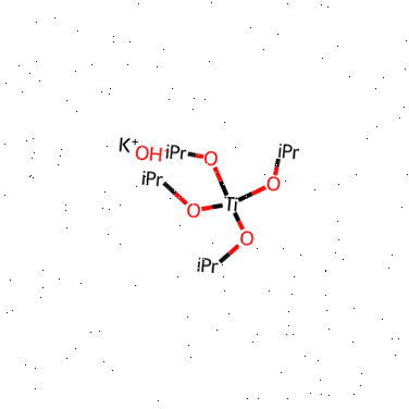 CC(C)[O][Ti]([O]C(C)C)([O]C(C)C)[O]C(C)C.[K+].[OH-]